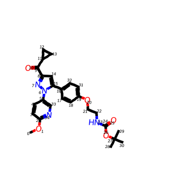 COc1ccc(-n2nc(C(=O)C3CC3)cc2-c2ccc(OCCNC(=O)OC(C)(C)C)cc2)cn1